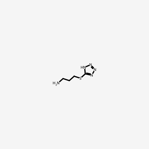 NCC[CH]Sc1nnn[nH]1